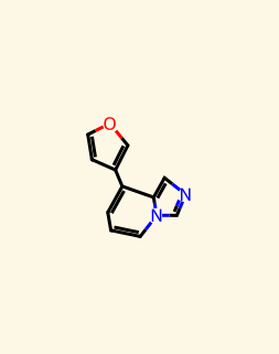 c1cc(-c2ccoc2)c2cncn2c1